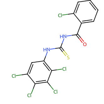 O=C(NC(=S)Nc1cc(Cl)c(Cl)c(Cl)c1Cl)c1ccccc1Cl